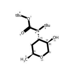 C[C@H]1C[C@H](N(C(=O)OC(C)(C)C)C(C)(C)C)[C@@H](O)CO1